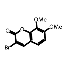 COc1ccc2cc(Br)c(=O)oc2c1OC